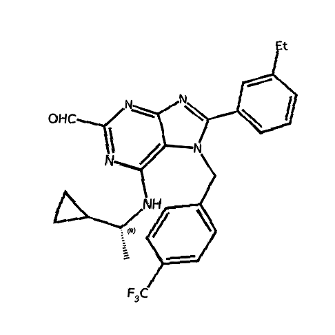 CCc1cccc(-c2nc3nc(C=O)nc(N[C@H](C)C4CC4)c3n2Cc2ccc(C(F)(F)F)cc2)c1